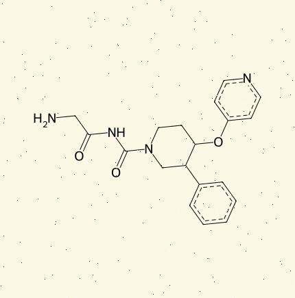 NCC(=O)NC(=O)N1CCC(Oc2ccncc2)C(c2ccccc2)C1